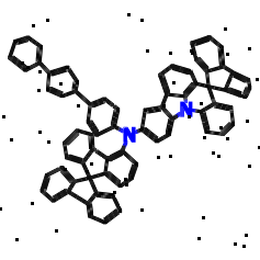 c1ccc(-c2ccc(-c3ccc(N(c4ccc5c(c4)c4cccc6c4n5-c4ccccc4C64c5ccccc5-c5ccccc54)c4cccc5c4-c4ccccc4C54c5ccccc5-c5ccccc54)cc3)cc2)cc1